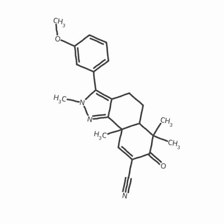 COc1cccc(-c2c3c(nn2C)C2(C)C=C(C#N)C(=O)C(C)(C)C2CC3)c1